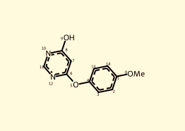 COc1ccc(Oc2cc(O)ncn2)cc1